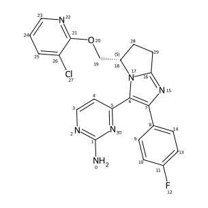 Nc1nccc(-c2c(-c3ccc(F)cc3)nc3n2[C@H](COc2ncccc2Cl)CC3)n1